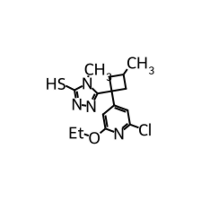 CCOc1cc(C2(c3nnc(S)n3C)CC(C)C2)cc(Cl)n1